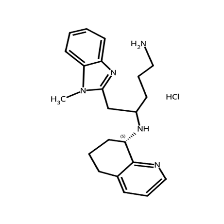 Cl.Cn1c(CC(CCCN)N[C@H]2CCCc3cccnc32)nc2ccccc21